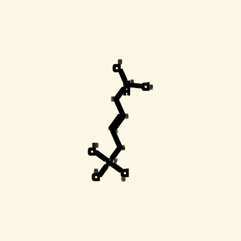 Cl[SiH](Cl)CC=CC[Si](Cl)(Cl)Cl